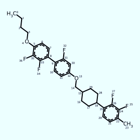 CCCCOc1ccc(-c2ccc(OCC3CCC(c4ccc(C)c(F)c4F)CC3)cc2F)c(F)c1F